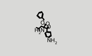 CC(C)C[C@](N)(C(=O)OCc1ccccc1)C(=O)c1ccc(N)cc1